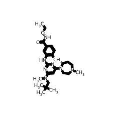 CCONC(=O)c1ccc(C)c(Nc2nc(N(C)CC(C)(C)C)cc(N3CCCN(C)CC3)n2)c1